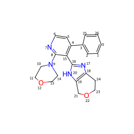 c1ccc(-c2ccnc(N3CCOCC3)c2-c2nc3c([nH]2)COCC3)cc1